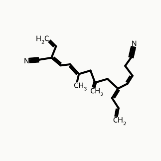 C=C/C=C(\C=C/CC#N)CC(=C)C/C(C)=C/C=C(/C#N)C=C